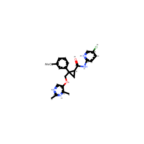 COc1cccc(C2(COc3cnc(C)nc3C)CC2C(=O)Nc2ccc(Cl)cn2)c1